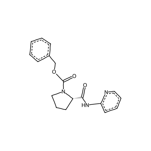 O=C(Nc1ccccn1)[C@@H]1CCCN1C(=O)OCc1ccccc1